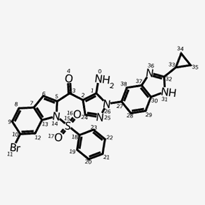 Nc1c(C(=O)c2cc3ccc(Br)cc3n2S(=O)(=O)c2ccccc2)cnn1-c1ccc2[nH]c(C3CC3)nc2c1